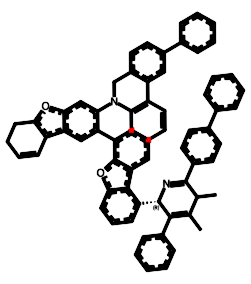 CC1=C(c2ccccc2)[C@H](c2cccc3oc4c(-c5cc6c7c(oc6cc5N5Cc6ccc(-c8ccccc8)cc6C6=C5CCC=C6)CCC=C7)cccc4c23)N=C(c2ccc(-c3ccccc3)cc2)C1C